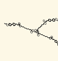 CCCOc1ccc(-c2ccc(C=CC(=O)OCCCCCCCCCC(=O)OCC(COC(=O)CCCCCCCCCOC(=O)C=Cc3ccc(-c4ccc(OCCC)cc4)cc3)OC(=O)CCCCCCCCCOC(=O)C=Cc3ccc(-c4ccc(OCCC)cc4)cc3)cc2)cc1